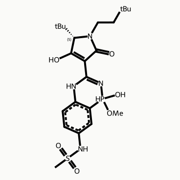 CO[PH]1(O)N=C(C2=C(O)[C@H](C(C)(C)C)N(CCC(C)(C)C)C2=O)Nc2ccc(NS(C)(=O)=O)cc21